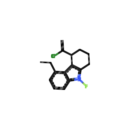 C=C(Cl)C1CCCc2c1c1c(CC)cccc1n2F